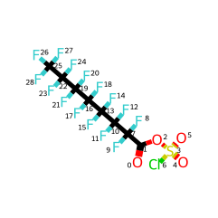 O=C(OS(=O)(=O)Cl)C(F)(F)C(F)(F)C(F)(F)C(F)(F)C(F)(F)C(F)(F)C(F)(F)F